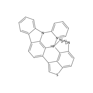 c1cc[n+]2c(c1)-n1c3ccccc3c3ccc4c(c31)[PH]21c2c(ccc3scc-4c23)-n2ccc[n+]21